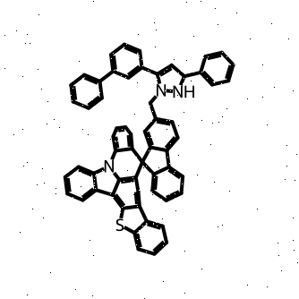 C1=C(c2cccc(-c3ccccc3)c2)N(Cc2ccc3c(c2)C2(c4ccccc4-3)c3ccccc3-n3c4ccccc4c4c5sc6ccccc6c5cc2c43)NC1c1ccccc1